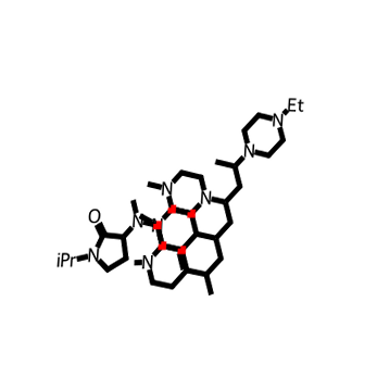 CCN1CCN(C(C)CC(CC(CC(C)C2=CC(CN(C)C3CCN(C(C)C)C3=O)N(C)CC2)C2CCN(C)CC2)N2CCN(C)CC2)CC1